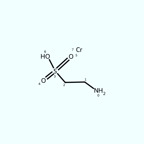 NCCS(=O)(=O)O.[Cr]